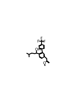 C=C(Cc1ccc(C(O)CCC(C)C)c(-c2ccc(C(F)(F)F)cc2)c1)OC